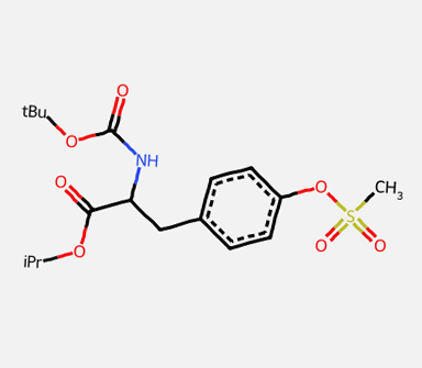 CC(C)OC(=O)C(Cc1ccc(OS(C)(=O)=O)cc1)NC(=O)OC(C)(C)C